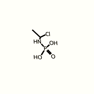 CC(Cl)NP(=O)(O)O